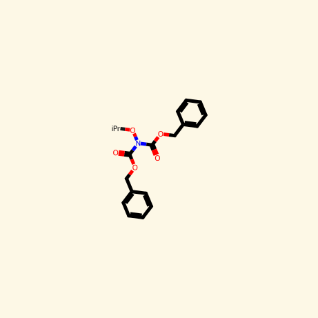 CC(C)ON(C(=O)OCc1ccccc1)C(=O)OCc1ccccc1